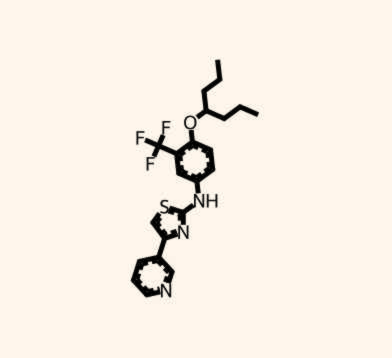 CCCC(CCC)Oc1ccc(Nc2nc(-c3cccnc3)cs2)cc1C(F)(F)F